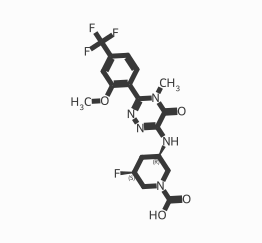 COc1cc(C(F)(F)F)ccc1-c1nnc(N[C@@H]2C[C@H](F)CN(C(=O)O)C2)c(=O)n1C